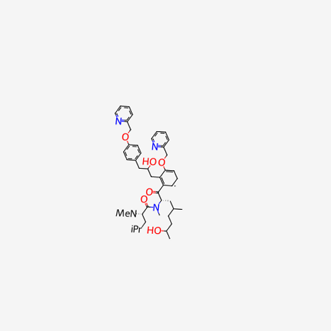 CN[C@@H](CC(C)C)C(=O)N(C)[C@@H](CC(C)CCC(C)O)C(=O)C1=C(CC(O)Cc2ccc(OCc3ccccn3)cc2)C(OCc2ccccn2)=CC[CH]1